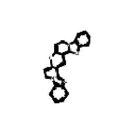 C1=C2OC3=CCN4C(=C3C=C2c2oc3ccccc3[n+]2C1)Oc1ccccc14